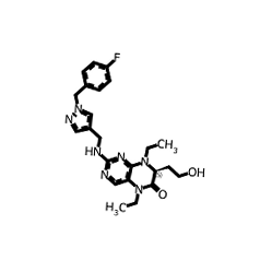 CCN1C(=O)[C@H](CCO)N(CC)c2nc(NCc3cnn(Cc4ccc(F)cc4)c3)ncc21